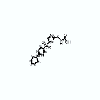 O=C(O)NCc1ncc(S(=O)(=O)c2cnc(-c3ccccc3)nc2)s1